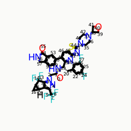 O=C(Cn1nc(C(F)(F)F)c2c1C(F)(F)C1C[C@H]21)N[C@@H](Cc1cc(F)cc(F)c1)c1nc2nc(N3CCN(C4COC4)CC3)sc2cc1-c1ccc2c(c1)C(=O)NC2